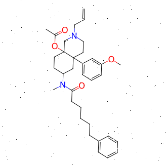 C=CCN1CCC2(c3cccc(OC)c3)CC(N(C)C(=O)CCCCCc3ccccc3)CCC2(OC(C)=O)C1